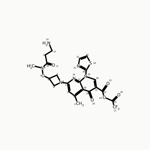 Cc1cc(N2CC(ON(C)C(=O)CCN)C2)nc2c1c(=O)c(C(=O)OC(=O)C(F)(F)F)cn2-c1nccs1